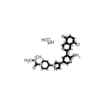 CN(C)C(=O)N1CCC(n2cc(-c3cnc(N)c(-c4cc5c(Cl)ccc(F)c5cn4)c3)cn2)CC1.Cl.Cl